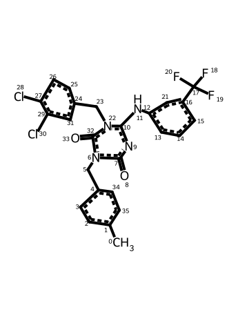 Cc1ccc(Cn2c(=O)nc(Nc3cccc(C(F)(F)F)c3)n(Cc3ccc(Cl)c(Cl)c3)c2=O)cc1